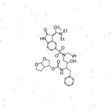 CCN(CC)/C(C)=C1/C(=O)Nc2ccc(S(=O)(=O)N(CC(C)C)CC(O)C(Cc3ccccc3)NC(=O)OC3COC4OCCC34)cc21